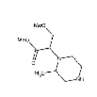 COCC(C(=O)OC)N1CCNCC1C